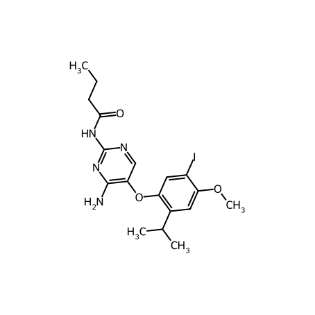 CCCC(=O)Nc1ncc(Oc2cc(I)c(OC)cc2C(C)C)c(N)n1